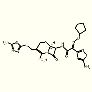 Cc1nnc(SCC2=C(C(=O)O)N3C(=O)C(NC(=O)C(=NOC4CCCC4)c4nsc(N)n4)[C@@H]3SC2)s1